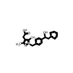 Cc1nn(Cc2ccc(C(O)Cc3ccccc3)cc2)c(C)c1CC(=O)O